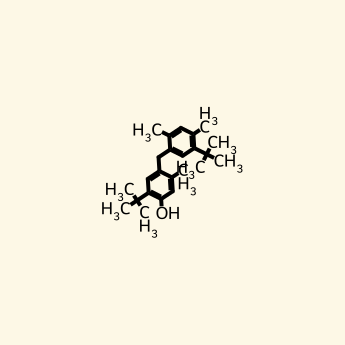 Cc1cc(C)c(C(C)(C)C)cc1Cc1cc(C(C)(C)C)c(O)cc1C